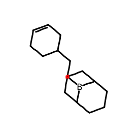 C1=CCC(CCB2C3CCCC2CCC3)CC1